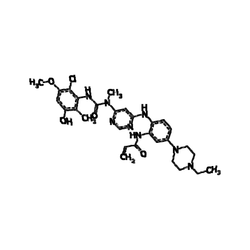 C=CC(=O)Nc1cc(N2CCN(CC)CC2)ccc1Nc1cc(N(C)C(=O)Nc2c(C)c(O)cc(OC)c2Cl)ncn1